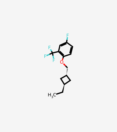 CC[C@H]1C[C@H](COc2ccc(F)cc2C(F)(F)F)C1